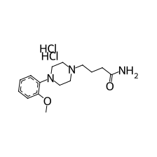 COc1ccccc1N1CCN(CCCC(N)=O)CC1.Cl.Cl